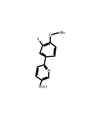 CCCCCCCCc1ccc(-c2ccc(OCCCC)c(F)c2)nc1